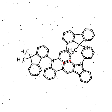 CC1(C)c2ccccc2-c2c(N(c3cccc(-c4cccc5c4C(C)(C)c4ccccc4-5)c3)c3ccccc3-c3ccc4c(c3)c3ccccc3n4-c3ccccc3)cccc21